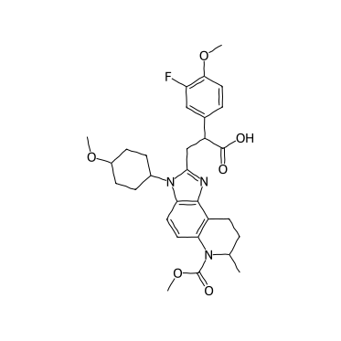 COC(=O)N1c2ccc3c(nc(CC(C(=O)O)c4ccc(OC)c(F)c4)n3C3CCC(OC)CC3)c2CCC1C